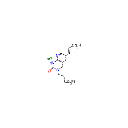 CCOC(=O)CCN1Cc2cc(/C=C/C(=O)O)cnc2NC1=O.Cl